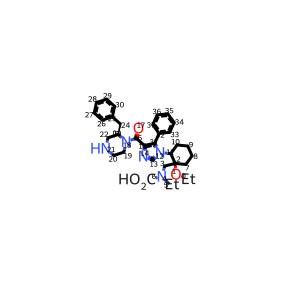 CCOC1(CN(CC)C(=O)O)CCCCC1n1cnc(C(=O)N2CCNC[C@H]2Cc2ccccc2)c1-c1ccccc1